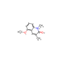 COc1cccc2c1cc(C)c(=O)n2C